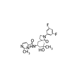 Cc1nccc(C(=O)N[C@@H]2C[C@@](C)(O)C[C@@]3(CCN(c4cc(F)cc(F)c4)C3=O)C2)n1